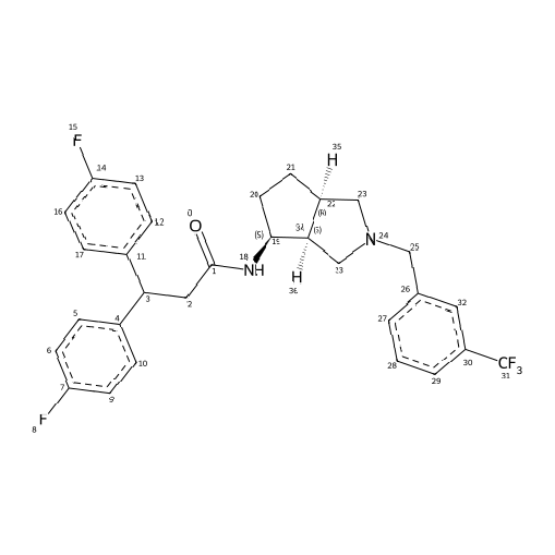 O=C(CC(c1ccc(F)cc1)c1ccc(F)cc1)N[C@H]1CC[C@H]2CN(Cc3cccc(C(F)(F)F)c3)C[C@H]21